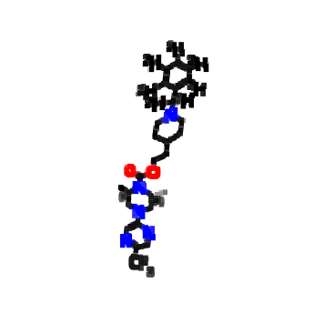 [2H]c1c([2H])c([2H])c(C([2H])([2H])N2CCC(CCOC(=O)N3[C@H](C)CN(c4cnc(C(F)(F)F)cn4)C[C@H]3C)CC2)c([2H])c1[2H]